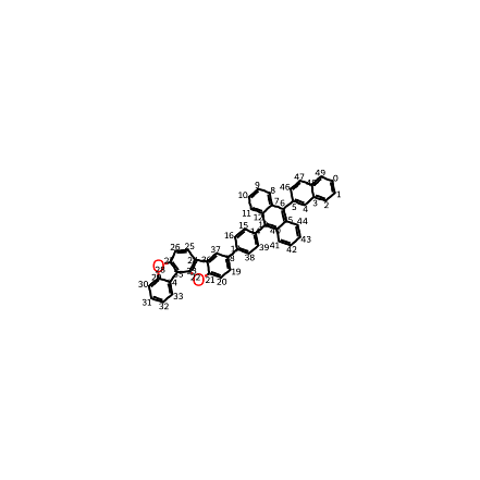 c1ccc2cc(-c3c4ccccc4c(-c4ccc(-c5ccc6oc7c(ccc8oc9ccccc9c87)c6c5)cc4)c4ccccc34)ccc2c1